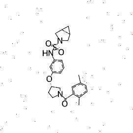 Cc1ccc(C)c(C(=O)N2CC[C@H](Oc3cccc(NS(=O)(=O)N4CC5CC5C4)c3)C2)c1